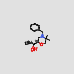 CC(C)(C)C(O)[C@H]1CN(Cc2ccccc2)C(C)(C)CO1